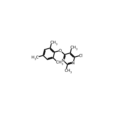 Cc1cc(C)c(Oc2nc(C)nc(Cl)c2C)c(C)c1